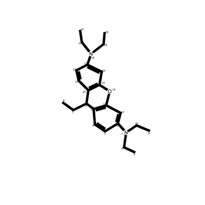 CCC1c2ccc(N(CC)CC)cc2Oc2cc(N(CC)CC)ccc21